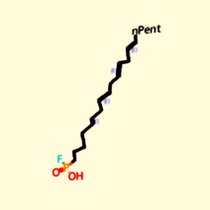 CCCCC/C=C/C/C=C/C/C=C/C/C=C/CCCCP(=O)(O)F